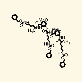 COc1ccc(NC(=O)[C@H](CCCCNC(=O)OCc2ccccc2)NC(=O)c2cc(NC(=O)[C@@H](N)CCCCNC(=O)OCc3ccccc3)ccc2OC)cc1C(=O)N[C@H](C)CCCCNC(=O)OCc1ccccc1